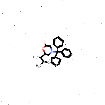 BC1CN(C(c2ccccc2)(c2ccccc2)c2ccccc2)CC(C(C)C(C)C)O1